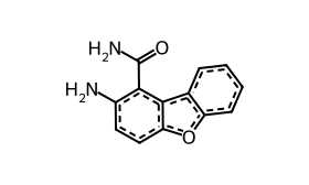 NC(=O)c1c(N)ccc2oc3ccccc3c12